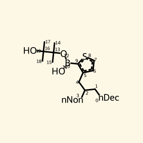 CCCCCCCCCCCC(CCCCCCCCC)Cc1ccsc1B(O)OC(C)(C)C(C)(C)O